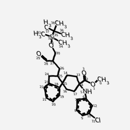 COC(=O)C1(Nc2cccc(Cl)c2)CCC2(CC1)c1ccccc1CC2CC(C=O)CO[Si](C)(C)C(C)(C)C